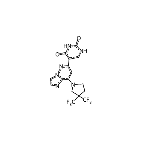 O=c1[nH]cc(-c2cc(N3CCC(C(F)(F)F)(C(F)(F)F)C3)c3nccn3n2)c(=O)[nH]1